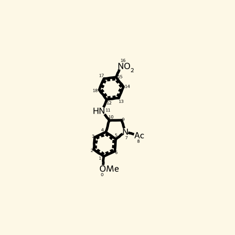 COc1ccc2c(c1)N(C(C)=O)CC2Nc1ccc([N+](=O)[O-])cc1